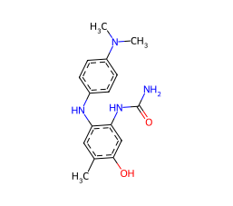 Cc1cc(Nc2ccc(N(C)C)cc2)c(NC(N)=O)cc1O